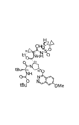 C=C(NS(=O)(=O)OC1(C)CC1)[C@@]1(NC(=O)[C@@H]2C[C@@H](Oc3nncc4cc(OC)ccc34)CN2C(=O)[C@@H](NC(=O)OC(C)(C)C)C(C)(C)C)C[C@H]1CC